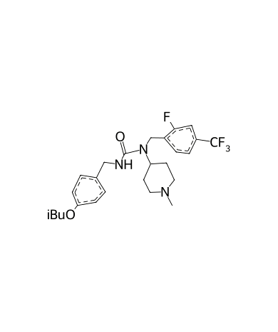 CC(C)COc1ccc(CNC(=O)N(Cc2ccc(C(F)(F)F)cc2F)C2CCN(C)CC2)cc1